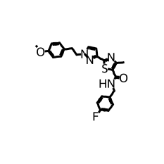 COc1ccc(CCn2ccc(-c3nc(C)c(C(=O)NCc4ccc(F)cc4)s3)n2)cc1